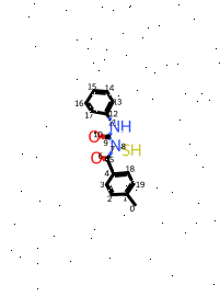 Cc1ccc(C(=O)N(S)C(=O)Nc2ccccc2)cc1